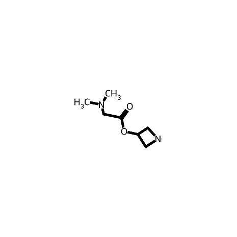 CN(C)CC(=O)OC1C[N]C1